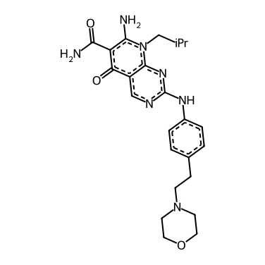 CC(C)Cn1c(N)c(C(N)=O)c(=O)c2cnc(Nc3ccc(CCN4CCOCC4)cc3)nc21